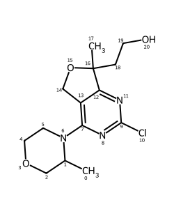 CC1COCCN1c1nc(Cl)nc2c1COC2(C)CCO